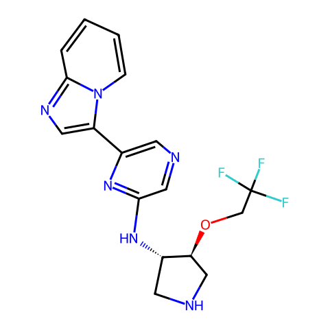 FC(F)(F)CO[C@H]1CNC[C@@H]1Nc1cncc(-c2cnc3ccccn23)n1